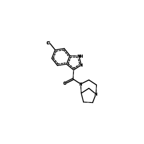 O=C(c1n[nH]c2cc(Cl)ccc12)N1CCN2CCC1C2